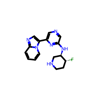 F[C@@H]1CCNC[C@H]1Nc1cncc(-c2cnc3ccccn23)n1